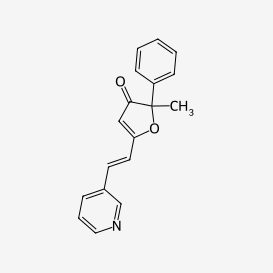 CC1(c2ccccc2)OC(C=Cc2cccnc2)=CC1=O